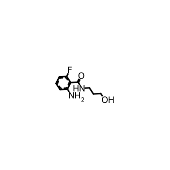 Nc1cccc(F)c1C(=O)NCCCO